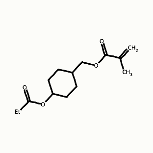 C=C(C)C(=O)OCC1CCC(OC(=O)CC)CC1